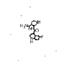 Nc1nn(C(=O)C2CCNc3ccc(F)cc32)c2c1CCNC2